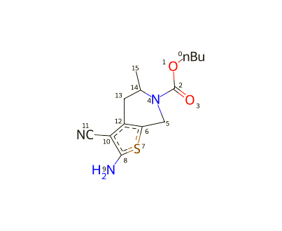 CCCCOC(=O)N1Cc2sc(N)c(C#N)c2CC1C